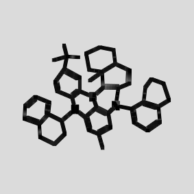 Cc1cc2c3c(c1)N(C1CCCc4ccccc41)c1ccc(C(C)(C)C)cc1B3C1=C(C=CC3CCCCC13C)N2c1cccc2c1CCCC2